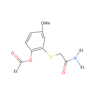 CCC(=O)Oc1ccc(OC)cc1SCC(=O)N(CC)CC